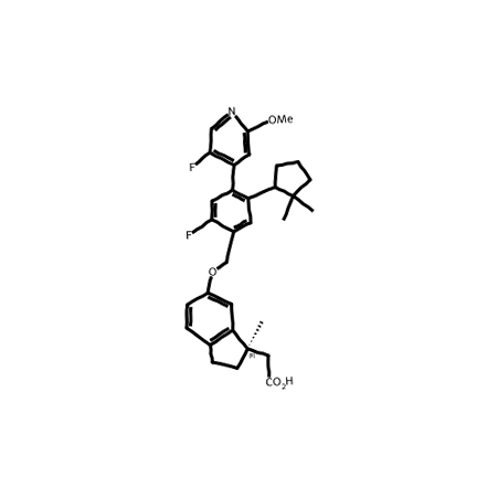 COc1cc(-c2cc(F)c(COc3ccc4c(c3)[C@@](C)(CC(=O)O)CC4)cc2C2CCCC2(C)C)c(F)cn1